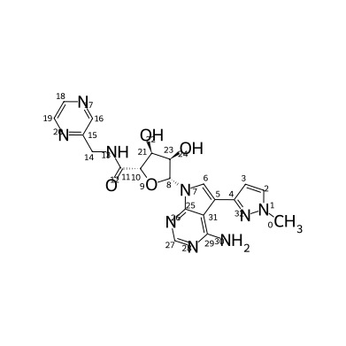 Cn1ccc(-c2cn([C@@H]3O[C@H](C(=O)NCc4cnccn4)[C@@H](O)[C@H]3O)c3ncnc(N)c23)n1